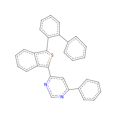 c1ccc(-c2cc(-c3sc(-c4ccccc4-c4ccccc4)c4ccccc34)ncn2)cc1